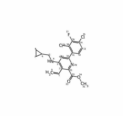 C=Cc1c(NCC2CC2)nc(-c2ccc(Cl)c(F)c2Cl)nc1C(=O)OC